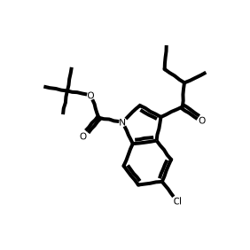 CCC(C)C(=O)c1cn(C(=O)OC(C)(C)C)c2ccc(Cl)cc12